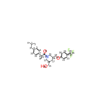 CC(C)Cc1ccc([C@H](C)C(=O)N2CC(CO)CC(COc3ccc(C(F)(F)F)cc3)C2)cc1